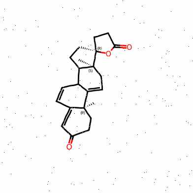 C[C@]12CCC(=O)C=C1C=CC1C2=CC[C@@]2(C)C1CC[C@@]21CCC(=O)O1